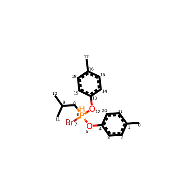 Cc1ccc(O[PH](Br)(CC(C)C)Oc2ccc(C)cc2)cc1